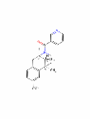 COc1ccc2c(c1)[C@]1(C)CCN(C(=O)c3cccnc3)[C@H](C2)[C@@H]1C